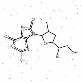 CCC(CO)C1CC(C)C(n2c(=O)sc3c(=O)[nH]c(N)nc32)O1